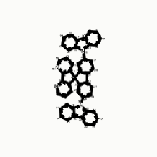 c1cnc2c(c1)C1(c3cc(-n4c5ccccc5c5ccccc54)ccc3-c3ccc(-n4c5ccccc5c5ccccc54)cc31)c1cccnc1-2